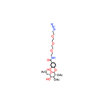 CC(=O)OC[C@H]1O[C@@H](Oc2ccc(C(=O)NCCOCCOCCOCCN=[N+]=[N-])cc2O)[C@H](OC(C)=O)[C@@H](OC(C)=O)[C@H]1O